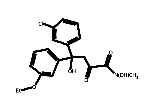 CCOc1cccc(C(O)(CC(=O)C(=O)N(C)O)c2cccc(Cl)c2)c1